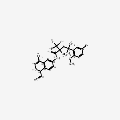 COc1ccc(F)cc1C(C)(C)CC(O)(C(=O)Nc1ccc2c(c1)C(C)=NOC2C=O)C(F)(F)F